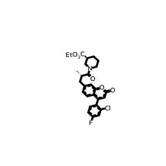 CCOC(=O)[C@H]1CCCN(C(=O)[C@@H](C)Cc2ccc3c(-c4ccc(F)cc4Cl)cc(=O)oc3c2)C1